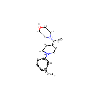 Cc1cccc(N2CCC(C(C=O)N3CCOCC3)CC2)c1